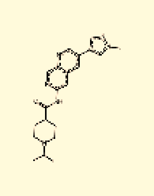 CC(C)N1CCC(C(=O)Nc2cc3cc(-c4cnn(C)c4)cnc3cn2)CC1